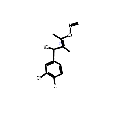 C=NO/C(C)=C(\C)C(O)c1ccc(Cl)c(Cl)c1